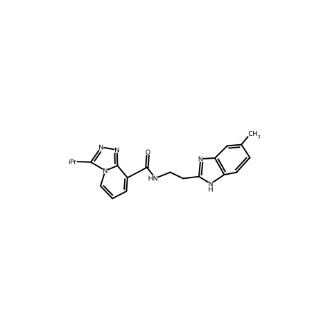 Cc1ccc2[nH]c(CCNC(=O)c3cccn4c(C(C)C)nnc34)nc2c1